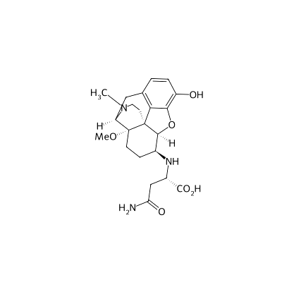 CO[C@@]12CC[C@H](N[C@@H](CC(N)=O)C(=O)O)[C@@H]3Oc4c(O)ccc5c4[C@@]31CCN(C)[C@@H]2C5